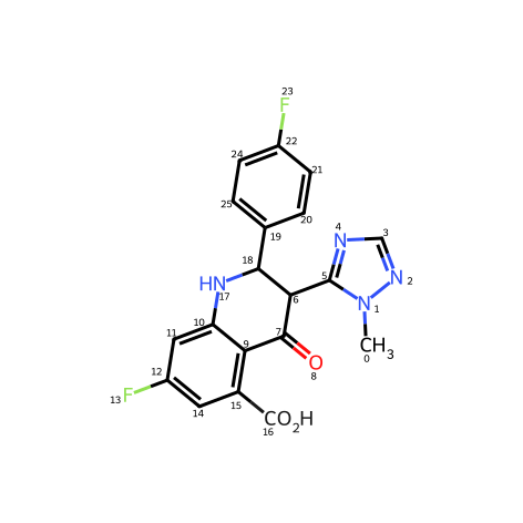 Cn1ncnc1C1C(=O)c2c(cc(F)cc2C(=O)O)NC1c1ccc(F)cc1